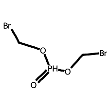 O=[PH](OCBr)OCBr